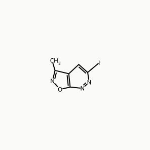 Cc1noc2nnc(I)cc12